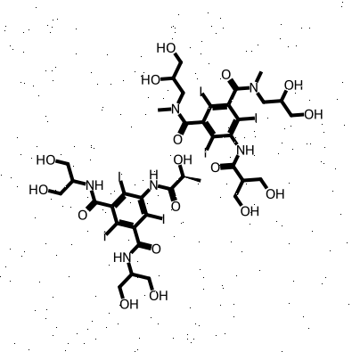 CN(CC(O)CO)C(=O)c1c(I)c(NC(=O)C(CO)CO)c(I)c(C(=O)N(C)CC(O)CO)c1I.C[C@H](O)C(=O)Nc1c(I)c(C(=O)NC(CO)CO)c(I)c(C(=O)NC(CO)CO)c1I